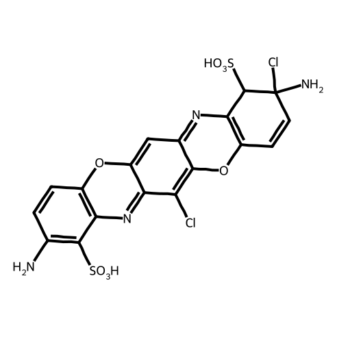 Nc1ccc2c(c1S(=O)(=O)O)N=c1c(cc3c(c1Cl)OC1=C(N=3)C(S(=O)(=O)O)C(N)(Cl)C=C1)O2